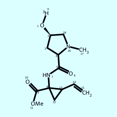 [3H]O[C@@H]1CC(C(=O)NC2(C(=O)OC)CC2C=C)N(C)C1